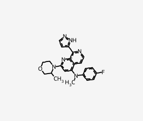 CC1COCCN1c1cc(N(C)c2ccc(F)cc2)c2ccnc(-c3ccn[nH]3)c2n1